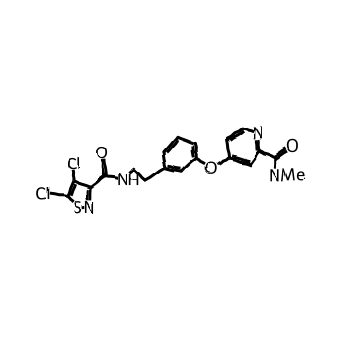 CNC(=O)c1cc(Oc2cccc(CCNC(=O)c3nsc(Cl)c3Cl)c2)ccn1